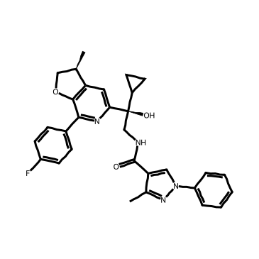 Cc1nn(-c2ccccc2)cc1C(=O)NC[C@](O)(c1cc2c(c(-c3ccc(F)cc3)n1)OC[C@H]2C)C1CC1